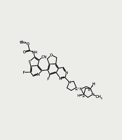 CN1C[C@H]2C[C@@H]1CN2[C@@H]1CCN(c2ncc3c4c(c(-c5ncc(F)c6sc(NC(=O)OC(C)(C)C)c(C#N)c56)c(F)c3n2)COC4)C1